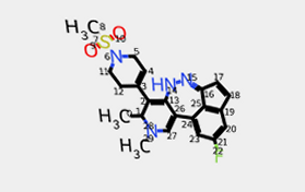 CC1C(C2=CCN(S(C)(=O)=O)CC2)=C2NN=C3C=Cc4cc(F)cc(c43)C2=CN1C